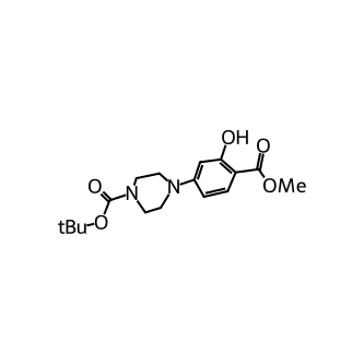 COC(=O)c1ccc(N2CCN(C(=O)OC(C)(C)C)CC2)cc1O